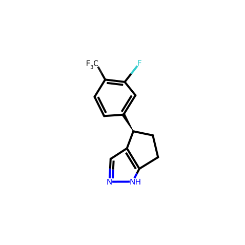 Fc1cc([C@H]2CCc3[nH]ncc32)ccc1C(F)(F)F